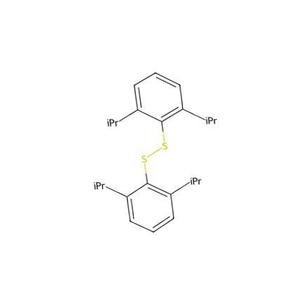 CC(C)c1cccc(C(C)C)c1SSc1c(C(C)C)cccc1C(C)C